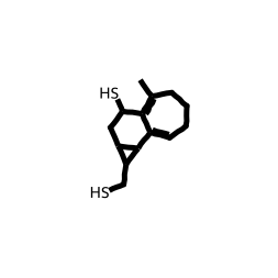 CC1=C2C(=CCCC1)C1C(CS)C1CC2S